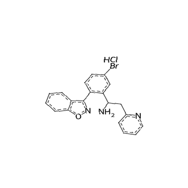 Cl.NC(Cc1ccccn1)c1cc(Br)ccc1-c1noc2ccccc12